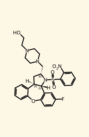 O=[N+]([O-])c1ccccc1S(=O)(=O)N1[C@@H](CN2CCN(CCO)CC2)C[C@@H]2c3ccccc3Oc3ccc(F)cc3[C@H]21